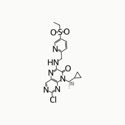 CCS(=O)(=O)c1ccc(CNc2nc3cnc(Cl)nc3n([C@@H](C)C3CC3)c2=O)nc1